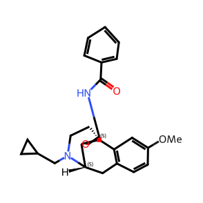 COc1ccc2c(c1)[C@@]13CCN(CC4CC4)[C@@H](C2)C1OCC(NC(=O)c1ccccc1)C3